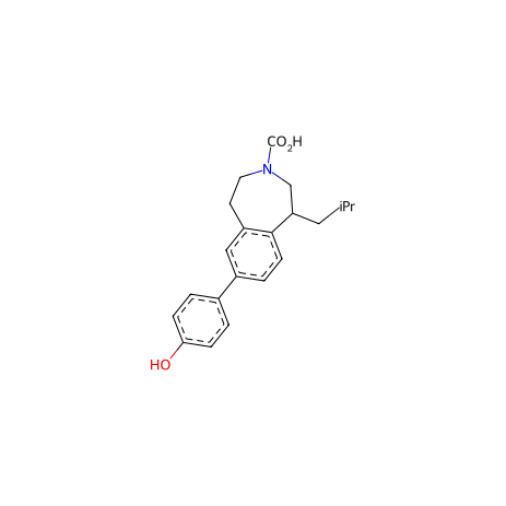 CC(C)CC1CN(C(=O)O)CCc2cc(-c3ccc(O)cc3)ccc21